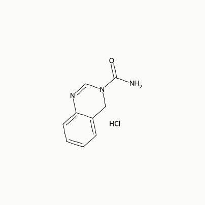 Cl.NC(=O)N1C=Nc2ccccc2C1